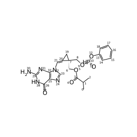 CC(C)C(=O)OC[C@@]1(CO[PH](=O)Oc2ccccc2)C/C1=C/n1cnc2c(=O)[nH]c(N)nc21